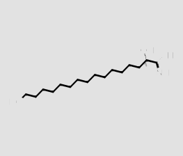 CCCCCCCCCCCCCCC[C@@H](O)[C@H](C)N